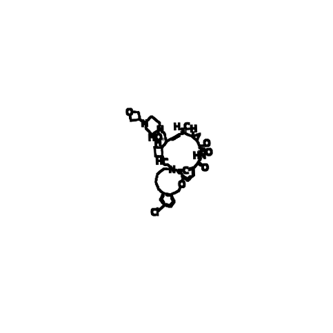 C[C@H]1/C=C/[C@](O)(CN2CCN(C3COC3)CC2)[C@@H]2CC[C@H]2CN2CCCCc3cc(Cl)ccc3COc3ccc(cc32)C(=O)NS(=O)(=O)C2C[C@H]21